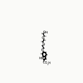 O=C(O)c1cc2ccc(OCCOCCOCCO)cc2[nH]1